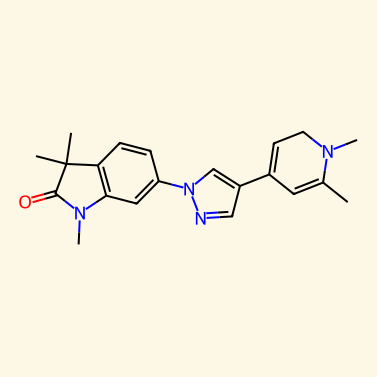 CC1=CC(c2cnn(-c3ccc4c(c3)N(C)C(=O)C4(C)C)c2)=CCN1C